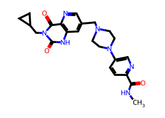 CNC(=O)c1ccc(N2CCN(Cc3cnc4c(=O)n(CC5CC5)c(=O)[nH]c4c3)CC2)cn1